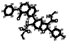 CCS(=O)(=O)Nc1cc2oc(-c3ccc(F)cc3)c(C(=O)NC)c2cc1-c1ccc2ncn(-c3ccccc3)c(=O)c2c1